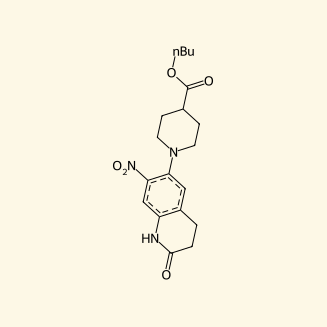 CCCCOC(=O)C1CCN(c2cc3c(cc2[N+](=O)[O-])NC(=O)CC3)CC1